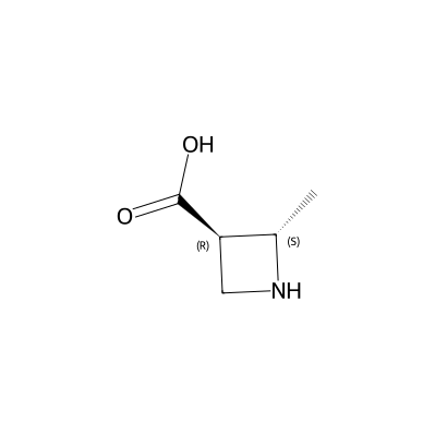 C[C@@H]1NC[C@H]1C(=O)O